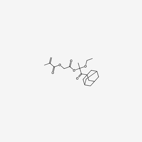 C=C(C)C(=O)OCC(=O)OC(C)(OCC)C(=O)C12CC3CC(CC(C3)C1)C2